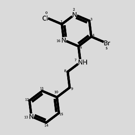 Clc1ncc(Br)c(NCCc2ccncc2)n1